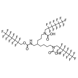 O=C(NCC(CCCCN(CC(F)(F)C(F)(F)C(F)(F)C(F)(F)C(F)(F)F)C(=O)O)CCCN(CC(F)(F)C(F)(F)C(F)(F)C(F)(F)C(F)(F)F)C(=O)O)OCC(F)(F)C(F)(F)C(F)(F)C(F)(F)C(F)(F)F